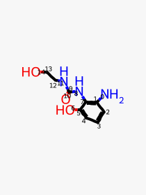 Nc1cccc(O)c1NC(=O)NCCO